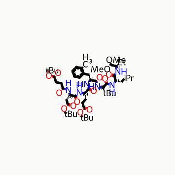 CC[C@H](NC(=O)[C@H](CC(C)C)NC(=O)[C@@H](NC(=O)[C@H](Cc1ccccc1C)NC(=O)[C@H](CCC(=O)OC(C)(C)C)NC(=O)[C@H](CC(=O)OC(C)(C)C)NC(=O)CCC(=O)OC(C)(C)C)C(C)(C)C)C(OC)OC